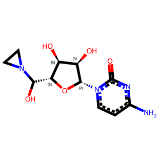 Nc1ccn([C@@H]2O[C@H](C(O)N3CC3)[C@@H](O)[C@H]2O)c(=O)n1